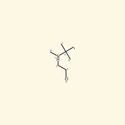 C[SiH](CCCl)C(C)(C)C